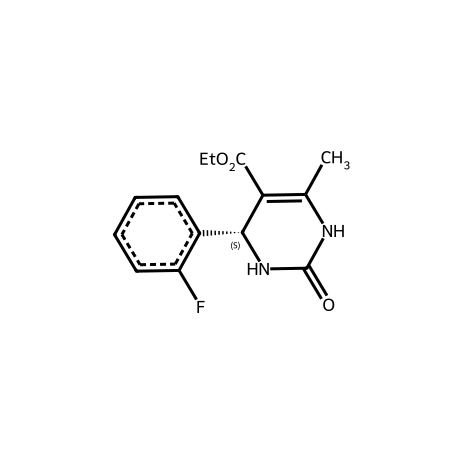 CCOC(=O)C1=C(C)NC(=O)N[C@@H]1c1ccccc1F